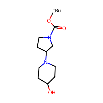 CC(C)(C)OC(=O)N1CCC(N2CCC(O)CC2)C1